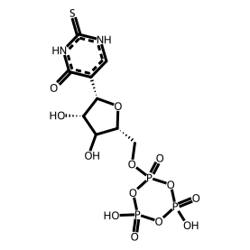 O=c1[nH]c(=S)[nH]cc1[C@@H]1O[C@H](COP2(=O)OP(=O)(O)OP(=O)(O)O2)C(O)[C@@H]1O